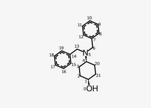 O[C@H]1CC[C@@H](N(Cc2ccccc2)Cc2ccccc2)CC1